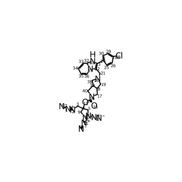 [N-]=[N+]=NCC(CN=[N+]=[N-])(CN=[N+]=[N-])OC(=O)N1CC2CN(CC3=C(c4ccc(Cl)cc4)NC4C=CC=CN34)CC2C1